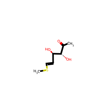 CS/C=C/[C@@H](O)[C@@H](O)C(C)=O